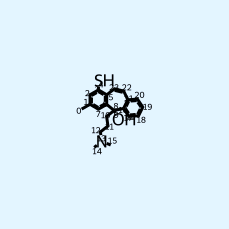 Cc1cc(S)c2c(c1)C(O)(CCCN(C)C)c1ccccc1C=C2